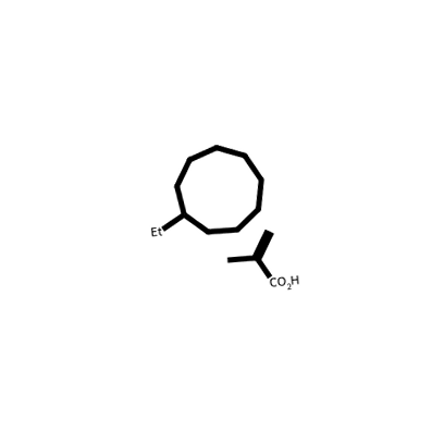 C=C(C)C(=O)O.CCC1CCCCCCCC1